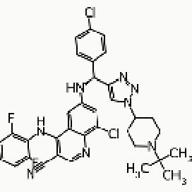 CC(C)(C)N1CCC(n2cc([C@@H](Nc3cc(Cl)c4ncc(C#N)c(Nc5c(F)cccc5F)c4c3)c3ccc(Cl)cc3)nn2)CC1